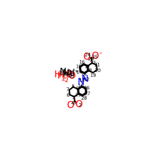 O.O.O=C([O-])C1CCCc2c(N=Nc3cccc4c3CCCC4C(=O)[O-])cccc21.[Na+].[Na+]